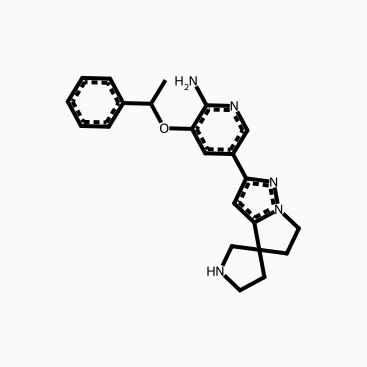 CC(Oc1cc(-c2cc3n(n2)CCC32CCNC2)cnc1N)c1ccccc1